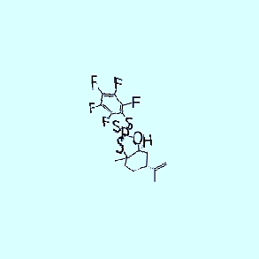 C=C(C)[C@@H]1CC[C@]2(C)S[P@@](=S)(Sc3c(F)c(F)c(F)c(F)c3F)O[C@H]2C1